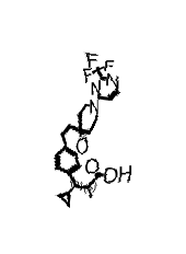 C[C@H](C(=O)O)[C@H](c1ccc2c(c1)OC1(CC2)CCN(c2ccnc(C(F)(F)F)n2)CC1)C1CC1